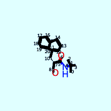 CC(C)(C)NC(=O)[C@H](C=O)Cc1cccc2ccccc12